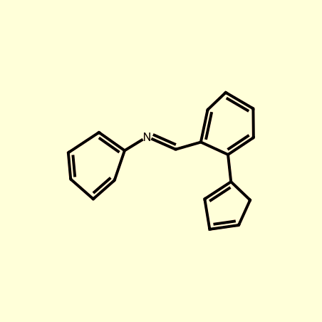 C1=CCC(c2ccccc2/C=N/c2ccccc2)=C1